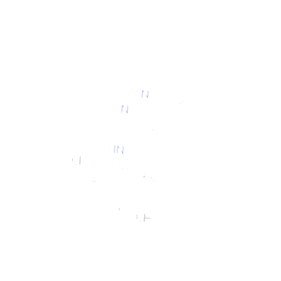 Cc1cccc(Cl)c1C(=O)Nc1nnc(S)s1